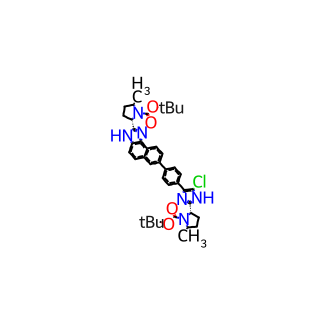 C[C@H]1CC[C@@H](c2nc(-c3ccc(-c4ccc5c(ccc6[nH]c([C@@H]7CC[C@H](C)N7C(=O)OC(C)(C)C)nc65)c4)cc3)c(Cl)[nH]2)N1C(=O)OC(C)(C)C